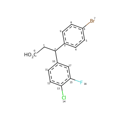 O=C(O)CC(c1ccc(Br)cc1)c1ccc(Cl)c(F)c1